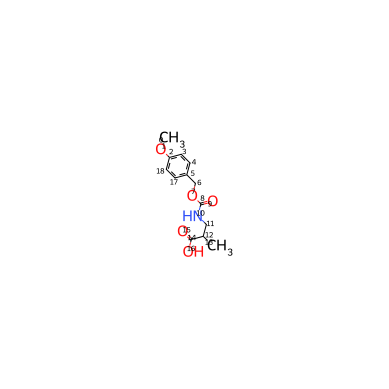 COc1ccc(COC(=O)NCC(C)C(=O)O)cc1